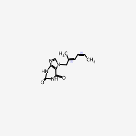 C/C=C\C=C(/C)Cn1cnc2[nH]c(=O)[nH]c(=O)c21